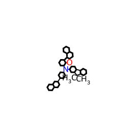 CC1(C)c2ccccc2-c2ccc(N(c3ccc(-c4ccc5ccccc5c4)cc3)c3cccc4c3oc3ccc5ccccc5c34)cc21